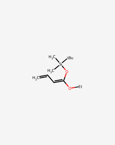 C=CC=C(OCC)O[Si](C)(C)C(C)(C)C